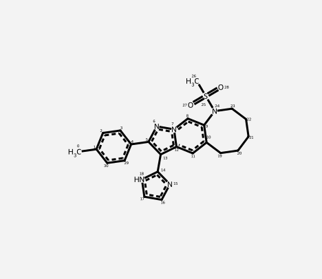 Cc1ccc(-c2nn3cc4c(cc3c2-c2ncc[nH]2)CCCCCN4S(C)(=O)=O)cc1